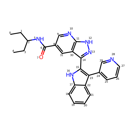 CCC(CC)NC(=O)c1cnc2[nH]nc(-c3[nH]c4ccccc4c3-c3cccnc3)c2c1